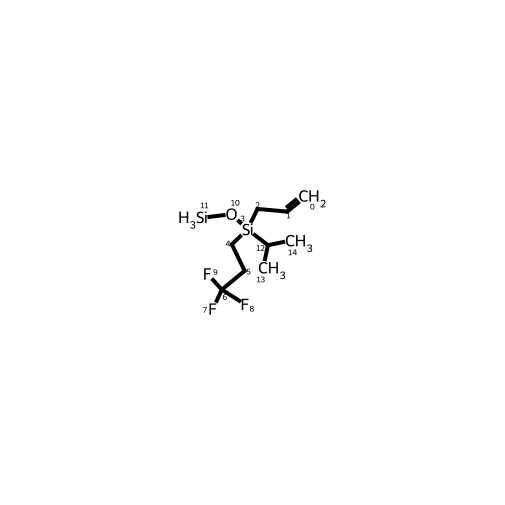 C=CC[Si](CCC(F)(F)F)(O[SiH3])C(C)C